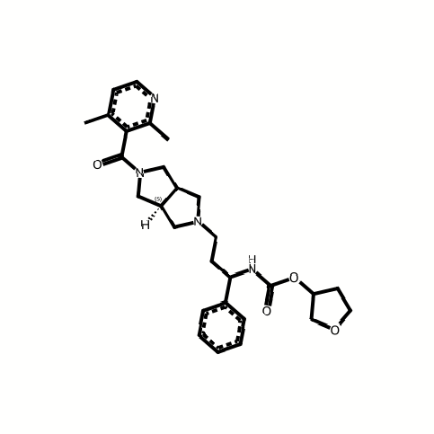 Cc1ccnc(C)c1C(=O)N1CC2CN(CCC(NC(=O)OC3CCOC3)c3ccccc3)C[C@H]2C1